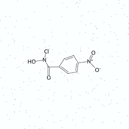 O=C(c1ccc([N+](=O)[O-])cc1)N(O)Cl